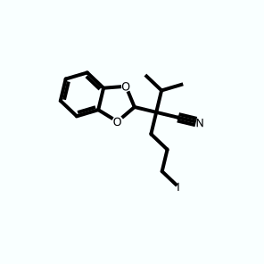 CC(C)C(C#N)(CCCI)C1Oc2ccccc2O1